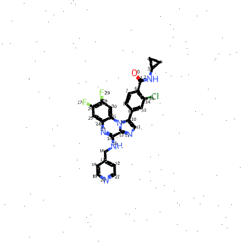 O=C(NC1CC1)c1ccc(-c2cnc3c(NCc4ccncc4)nc4cc(F)c(F)cc4n23)cc1Cl